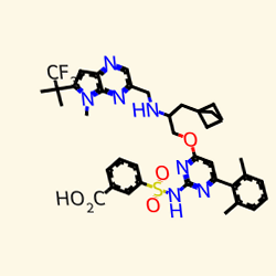 Cc1cccc(C)c1-c1cc(OCC(CC23CC(C2)C3)NCc2cnc3cc(C(C)(C)C(F)(F)F)n(C)c3n2)nc(NS(=O)(=O)c2cccc(C(=O)O)c2)n1